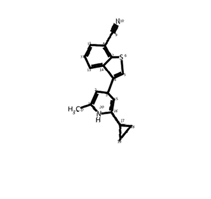 CC1=CC(c2csc3c(C#N)cccc23)C=C(C2CC2)N1